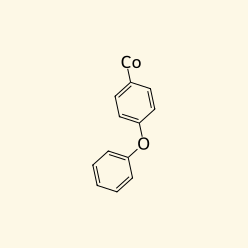 [Co][c]1ccc(Oc2ccccc2)cc1